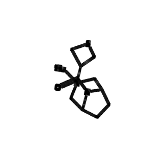 CC(C)(C)N1CC2CCC(C1)N2C(=O)C1CSC1